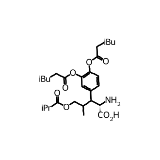 CCC(C)CC(=O)Oc1ccc(C(C(C)COC(=O)C(C)C)[C@H](N)C(=O)O)cc1OC(=O)CC(C)CC